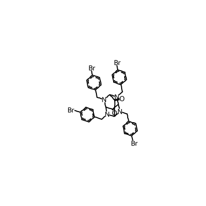 O=C1C2N(Cc3ccc(Br)cc3)C3C(=O)C(N2Cc2ccc(Br)cc2)N(Cc2ccc(Br)cc2)C1N3Cc1ccc(Br)cc1